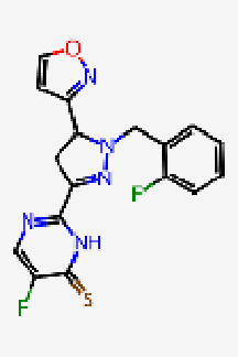 Fc1ccccc1CN1N=C(c2ncc(F)c(=S)[nH]2)CC1c1ccon1